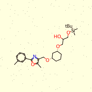 Cc1cccc(-c2nc(CO[C@H]3CCC[C@@H](OCC(O)CO[Si](C)(C)C(C)(C)C)C3)c(C)o2)c1